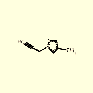 C#CCn1cc(C)cn1